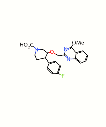 COc1nc(COC2CN(C(=O)O)CCC2c2ccc(F)cc2)nc2ccccc12